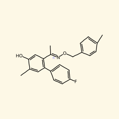 C/C(=N\OCc1ccc(C)cc1)c1cc(O)c(C)cc1-c1ccc(F)cc1